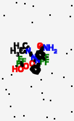 CCN(CC)CCn1c(=O)n(Cc2ccccc2)c2c(C(F)(F)F)cc(C(N)=O)cc21.O=C(O)C(F)(F)F